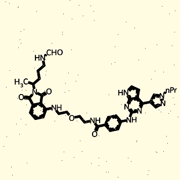 CCCn1cc(-c2nc(Nc3ccc(C(=O)NCCOCCNc4cccc5c4C(=O)N(C(C)CCCNC=O)C5=O)cc3)nc3[nH]ccc23)cn1